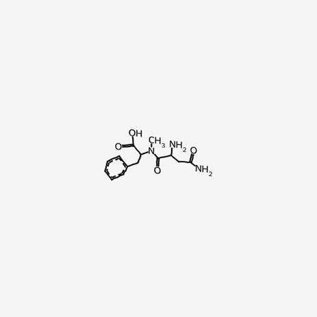 CN(C(=O)C(N)CC(N)=O)C(Cc1ccccc1)C(=O)O